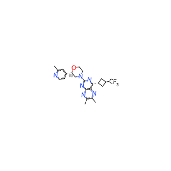 Cc1cc([C@H]2CN(c3nc4nc(C)c(C)nc4c([C@H]4C[C@H](C(F)(F)F)C4)n3)CCO2)ccn1